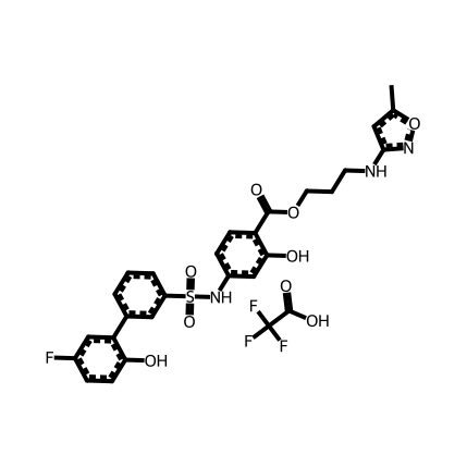 Cc1cc(NCCCOC(=O)c2ccc(NS(=O)(=O)c3cccc(-c4cc(F)ccc4O)c3)cc2O)no1.O=C(O)C(F)(F)F